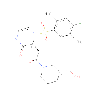 Cc1cc(S(=O)(=O)N2C=CNC(=O)[C@@H]2CC(=O)N2CCC[C@@H](CO)C2)c(C)cc1Cl